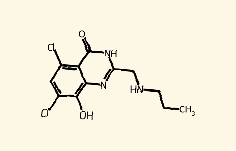 CCCNCc1nc2c(O)c(Cl)cc(Cl)c2c(=O)[nH]1